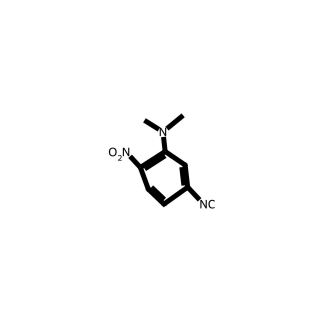 [C-]#[N+]c1ccc([N+](=O)[O-])c(N(C)C)c1